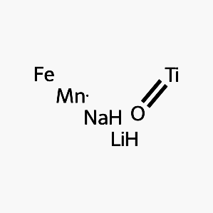 [Fe].[LiH].[Mn].[NaH].[O]=[Ti]